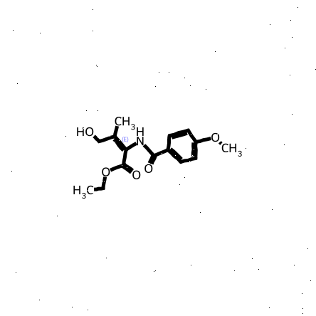 CCOC(=O)/C(NC(=O)c1ccc(OC)cc1)=C(/C)CO